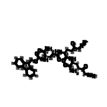 [N-]=[N+]=CC(=O)CC[C@H](NC(=O)[C@H](CCC(=O)C=[N+]=[N-])NC(=O)CC[C@H](NC(=O)OCC1c2ccccc2-c2ccccc21)C(N)=O)C(N)=O